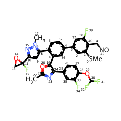 CSc1cc(-c2ccc(-c3cc(C4(F)CO4)nn3C)c(-c3oc(C)nc3-c3ccc(OC(F)F)c(F)c3)c2)cc(F)c1CN=O